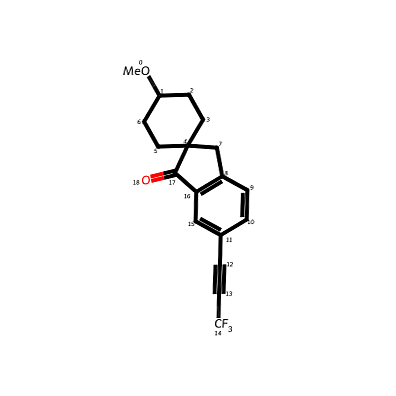 COC1CCC2(CC1)Cc1ccc(C#CC(F)(F)F)cc1C2=O